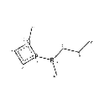 CCCB(C)p1ccn1C